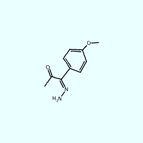 COc1ccc(C(=NN)C(C)=O)cc1